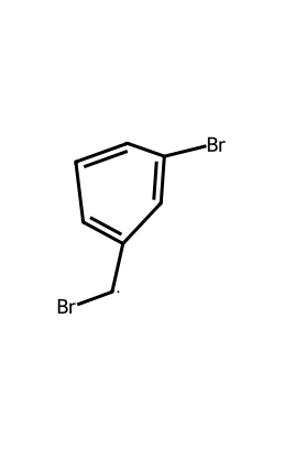 Br[CH]c1cccc(Br)c1